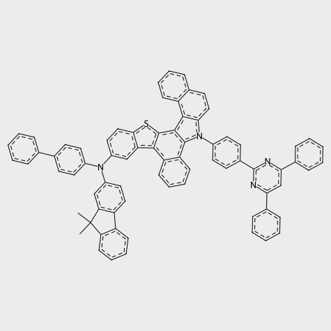 CC1(C)c2ccccc2-c2ccc(N(c3ccc(-c4ccccc4)cc3)c3ccc4sc5c(c4c3)c3ccccc3c3c5c4c5ccccc5ccc4n3-c3ccc(-c4nc(-c5ccccc5)cc(-c5ccccc5)n4)cc3)cc21